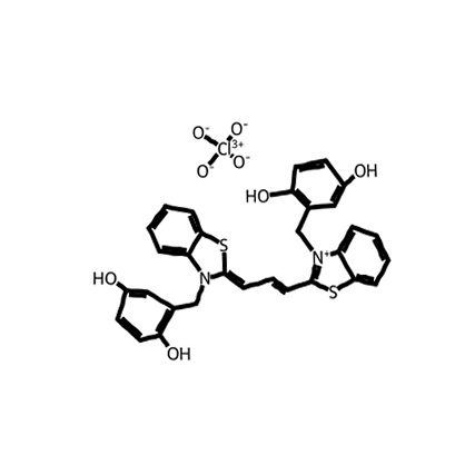 Oc1ccc(O)c(CN2C(=CC=Cc3sc4ccccc4[n+]3Cc3cc(O)ccc3O)Sc3ccccc32)c1.[O-][Cl+3]([O-])([O-])[O-]